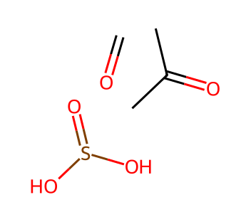 C=O.CC(C)=O.O=S(O)O